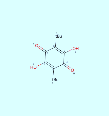 CC(C)(C)C1=C(O)C(=O)C(C(C)(C)C)=C(O)C1=O